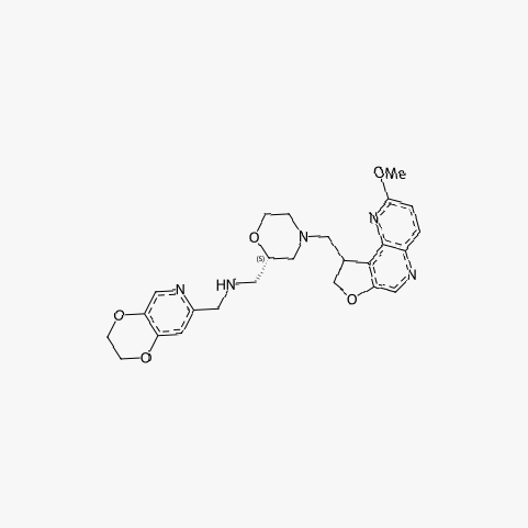 COc1ccc2ncc3c(c2n1)C(CN1CCO[C@@H](CNCc2cc4c(cn2)OCCO4)C1)CO3